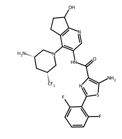 Nc1sc(-c2c(F)cccc2F)nc1C(=O)Nc1cnc2c(c1N1C[C@@H](N)C[C@@H](C(F)(F)F)C1)CCC2O